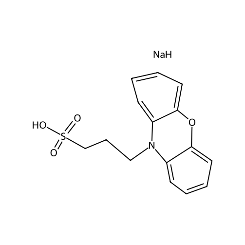 O=S(=O)(O)CCCN1c2ccccc2Oc2ccccc21.[NaH]